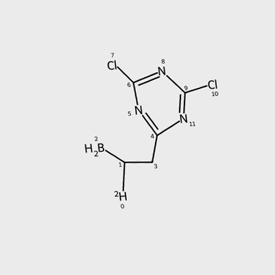 [2H]C(B)Cc1nc(Cl)nc(Cl)n1